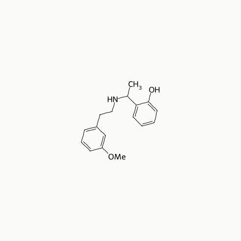 COc1cccc(CCNC(C)c2ccccc2O)c1